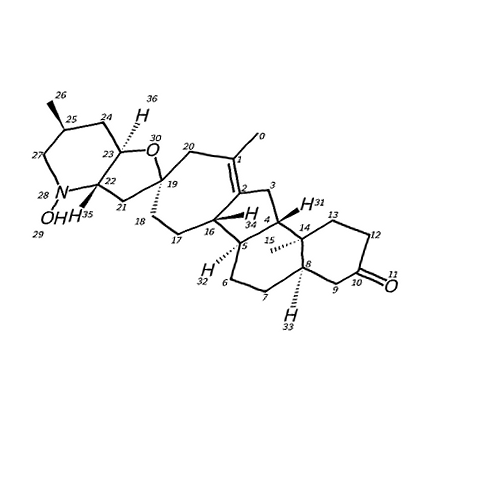 CC1=C2C[C@H]3[C@@H](CC[C@@H]4CC(=O)CC[C@@]43C)[C@@H]2CC[C@]2(C1)C[C@H]1[C@@H](C[C@H](C)CN1O)O2